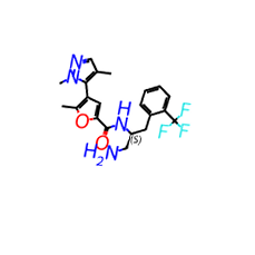 Cc1cnn(C)c1-c1cc(C(=O)N[C@H](CN)Cc2ccccc2C(F)(F)F)oc1C